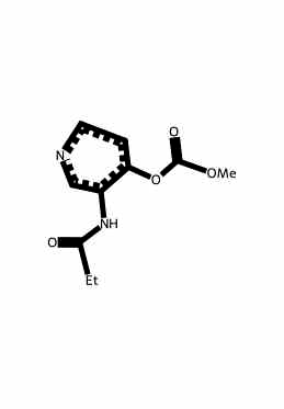 CCC(=O)Nc1cnccc1OC(=O)OC